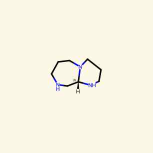 C1CNC[C@H]2NCCCN2C1